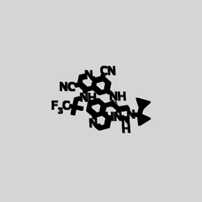 CC(C)(CNc1c(C#N)cnc2c(C#N)cc(N[C@H](C3=CN(C4(C5CC5)CC4)NN3)c3cccc4ncccc34)cc12)C(F)(F)F